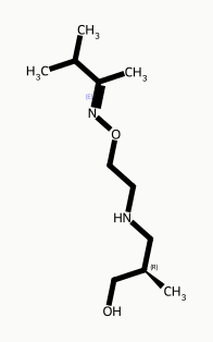 C/C(=N\OCCNC[C@@H](C)CO)C(C)C